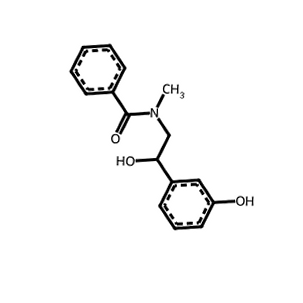 CN(CC(O)c1cccc(O)c1)C(=O)c1ccccc1